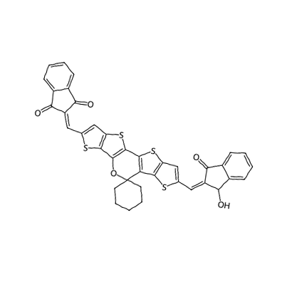 O=C1C(=Cc2cc3sc4c(c3s2)OC2(CCCCC2)c2c-4sc3cc(/C=C4\C(=O)c5ccccc5C4O)sc23)C(=O)c2ccccc21